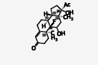 CC(=O)[C@@]1(O)CC[C@H]2[C@@H]3CCC4=CC(=O)CC[C@]4(C)[C@@]3(F)C(O)C[C@@]21C